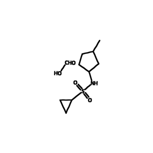 CC1CCC(NS(=O)(=O)C2CC2)C1.O=CO